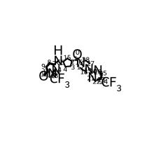 O=C([C@H]1CC[C@H](Nc2ccc(=O)n(C(F)(F)F)n2)C1)N1CCN(c2ncc(C(F)(F)F)cn2)CC1